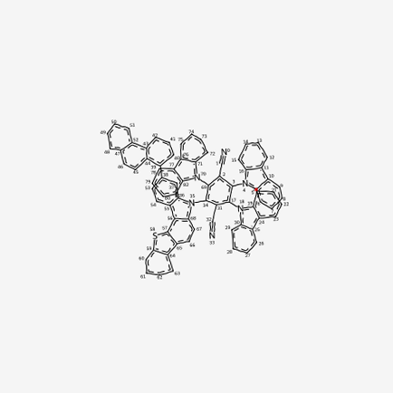 N#Cc1c(-n2c3ccccc3c3ccccc32)c(-n2c3ccccc3c3ccccc32)c(C#N)c(-n2c3cc(-c4cccc5c4ccc4ccccc45)ccc3c3c4sc5ccccc5c4ccc32)c1-n1c2ccccc2c2ccccc21